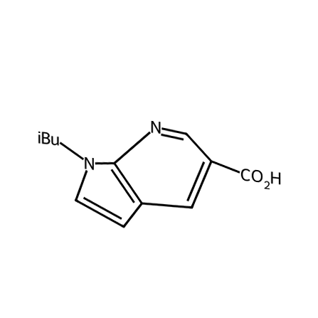 CCC(C)n1ccc2cc(C(=O)O)cnc21